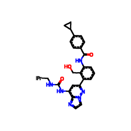 CC(C)CNC(=O)Nc1cc(-c2cccc(NC(=O)c3ccc(C4CC4)cc3)c2CO)nn2ccnc12